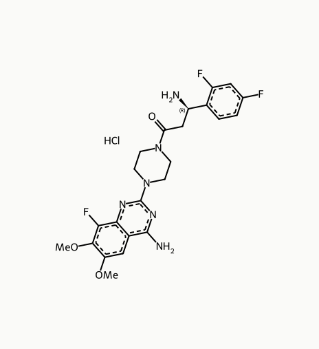 COc1cc2c(N)nc(N3CCN(C(=O)C[C@@H](N)c4ccc(F)cc4F)CC3)nc2c(F)c1OC.Cl